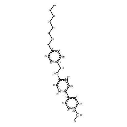 CCCCCCCCc1ccc(COc2cnc(-c3ccc(OC)cc3)cn2)cc1